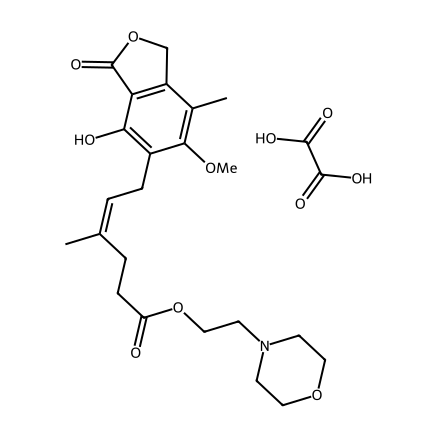 COc1c(C)c2c(c(O)c1CC=C(C)CCC(=O)OCCN1CCOCC1)C(=O)OC2.O=C(O)C(=O)O